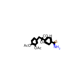 CC(=O)Oc1ccc(CC(OC(C)=O)(C(=O)O)c2ccc(C(N)=S)cc2)cc1OC(C)=O